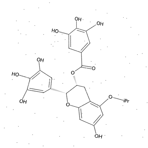 CC(C)Oc1cc(O)cc2c1C[C@@H](OC(=O)c1cc(O)c(O)c(O)c1)[C@@H](c1cc(O)c(O)c(O)c1)O2